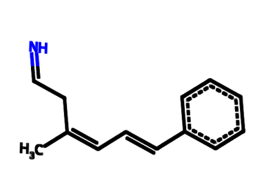 C/C(=C/C=C/c1ccccc1)CC=N